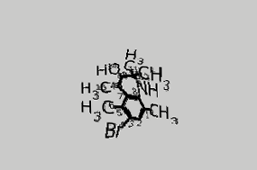 Cc1cc(Br)c(C)c2c1NC(C)(C)[C@H](O)[C@H]2C